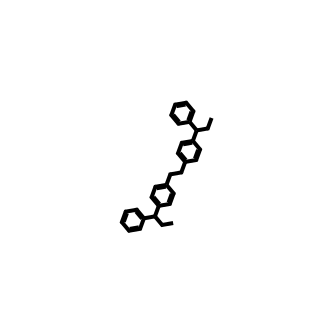 CCC(c1ccccc1)c1ccc(CCc2ccc(C(CC)c3ccccc3)cc2)cc1